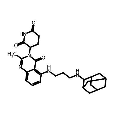 Cc1nc2cccc(NCCCNC3C4CC5CC(C4)CC3C5)c2c(=O)n1C1CCC(=O)NC1=O